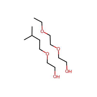 CC(C)CCOCCO.CCOCCOCCO